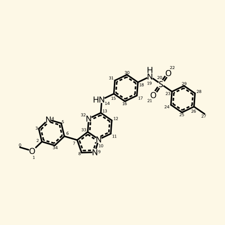 COc1cncc(-c2cnn3ccc(Nc4ccc(NS(=O)(=O)c5ccc(C)cc5)cc4)nc23)c1